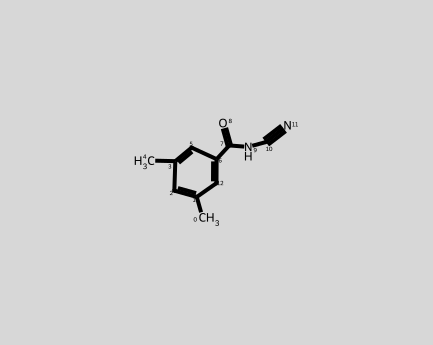 Cc1cc(C)cc(C(=O)NC#N)c1